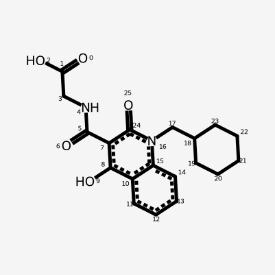 O=C(O)CNC(=O)c1c(O)c2ccccc2n(CC2CCCCC2)c1=O